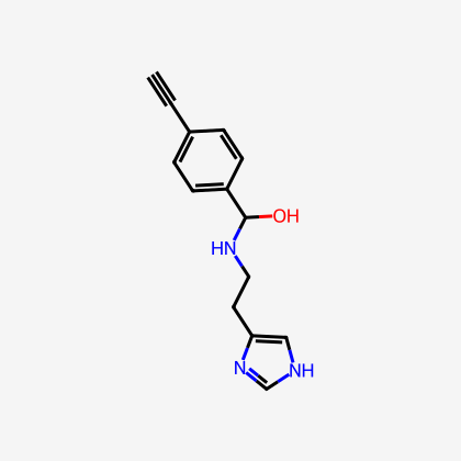 C#Cc1ccc(C(O)NCCc2c[nH]cn2)cc1